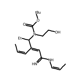 C/C=C\NC(=N)/C=C(\C=C/C)C(CC)N(CCO)C(=O)OC(C)(C)C